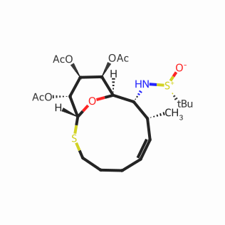 CC(=O)O[C@@H]1[C@H](OC(C)=O)[C@@H](OC(C)=O)[C@@H]2O[C@@H]1[C@H](N[S@+]([O-])C(C)(C)C)[C@H](C)/C=C\CCCS2